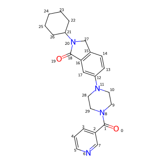 O=C(c1cccnc1)N1CCN(c2ccc3c(c2)C(=O)N(C2CCCCC2)C3)CC1